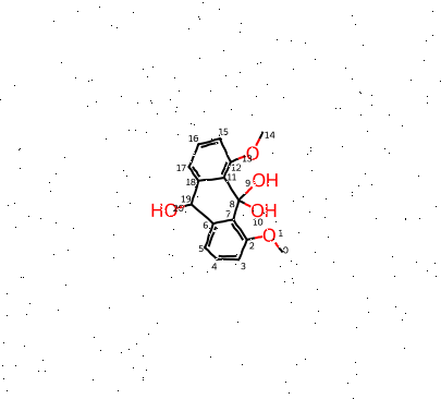 COc1cccc2c1C(O)(O)c1c(OC)cccc1C2O